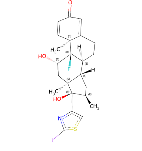 C[C@@H]1C[C@H]2[C@@H]3CCC4=CC(=O)C=C[C@]4(C)[C@@]3(F)[C@@H](O)C[C@]2(C)[C@@]1(O)c1csc(I)n1